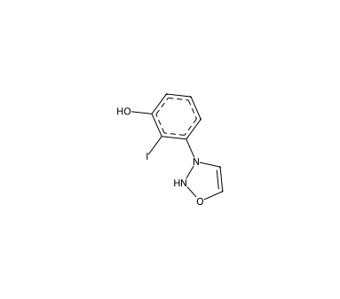 Oc1cccc(N2C=CON2)c1I